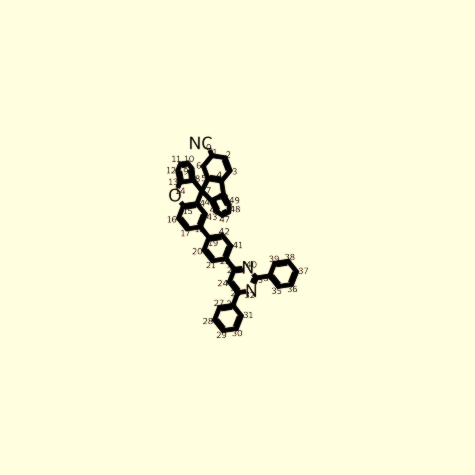 N#CC1C=CC2=C(C1)C1(c3ccccc3Oc3ccc(-c4ccc(-c5cc(-c6ccccc6)nc(-c6ccccc6)n5)cc4)cc31)c1ccccc12